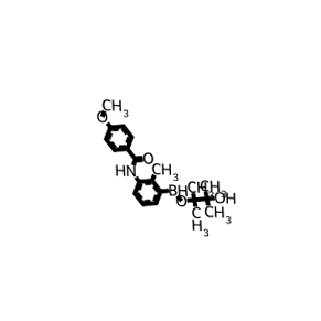 COc1ccc(C(=O)Nc2cccc(BOC(C)(C)C(C)(C)O)c2C)cc1